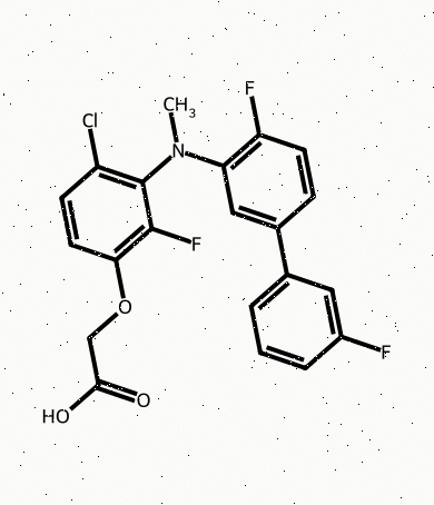 CN(c1cc(-c2cccc(F)c2)ccc1F)c1c(Cl)ccc(OCC(=O)O)c1F